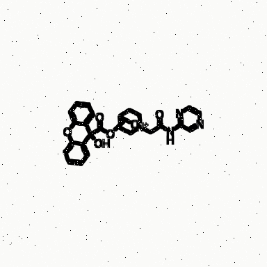 O=C(C[N+]12CCC(CC1)C(OC(=O)C1(O)c3ccccc3Oc3ccccc31)C2)Nc1cnccn1